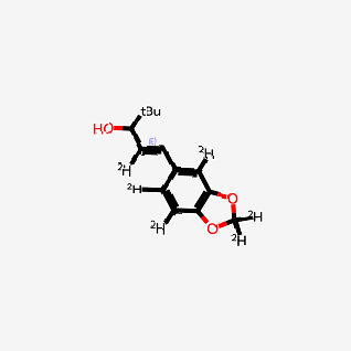 [2H]/C(=C\c1c([2H])c([2H])c2c(c1[2H])OC([2H])([2H])O2)C(O)C(C)(C)C